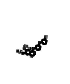 COc1cc2ncnc(Nc3cccc(Oc4cccc(Cl)c4)c3)c2cc1OC